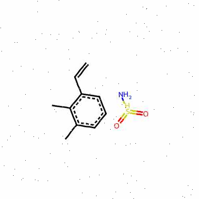 C=Cc1cccc(C)c1C.N[SH](=O)=O